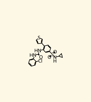 O=C(Nc1ccccc1Cl)Nc1cc(S(=O)(=O)NC2CC2)ccc1-c1ccsc1